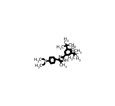 CCN(CC)c1ccc(-c2nc(-c3cc(C(C)(C)C)c(O)c(C(C)(C)C)c3)[nH]c2C)cc1